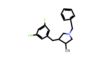 N#CC1CN(Cc2ccccc2)CC1Cc1cc(F)cc(F)c1